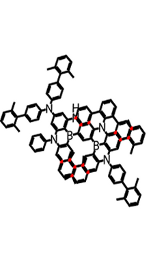 Cc1cccc(C)c1-c1ccc(N(c2ccc(-c3c(C)cccc3C)cc2)c2cc3c4c(c2)N(c2ccccc2)c2ccc(-c5c(C)cccc5C)cc2B4c2cc4c(cc2N3)N(c2c(-c3ccccc3)cccc2-c2ccccc2)c2cc(-c3c(C)cccc3C)cc3c2B4c2cc(-c4c(C)cccc4C)ccc2N3c2ccc(-c3c(C)cccc3C)cc2)cc1